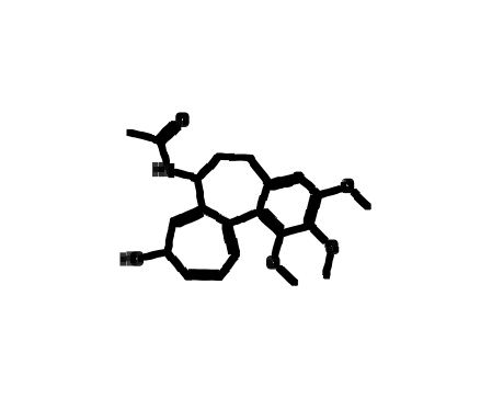 COc1cc2c(c(OC)c1OC)C1=CC=CC(O)C=C1C(NC(C)=O)CC2